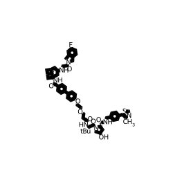 Cc1ncsc1-c1ccc(CNC(=O)[C@@H]2C[C@@H](O)CN2C(=O)[C@@H](NC(=O)CCOCCOc2ccc(-c3ccc(C(=O)NC45CC6CC7CC(NCC(=O)N8Cc9ccc(F)cc9C8)(C4)CC765)cc3)cc2)C(C)(C)C)cc1